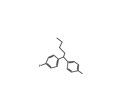 CCCCC(c1ccc(C)cc1)c1ccc(F)cc1